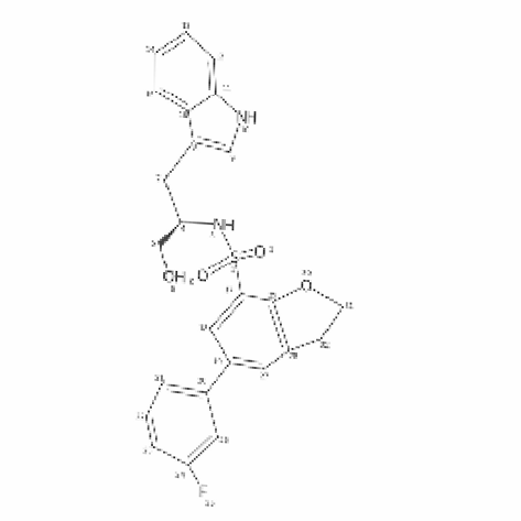 O=S(=O)(N[C@@H](CO)Cc1c[nH]c2ccccc12)c1cc(-c2cccc(F)c2)cc2c1OCC2